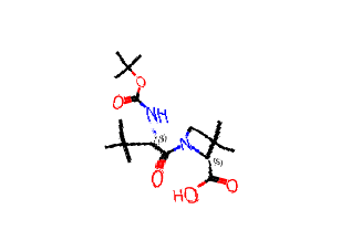 CC(C)(C)OC(=O)N[C@H](C(=O)N1CC(C)(C)[C@H]1C(=O)O)C(C)(C)C